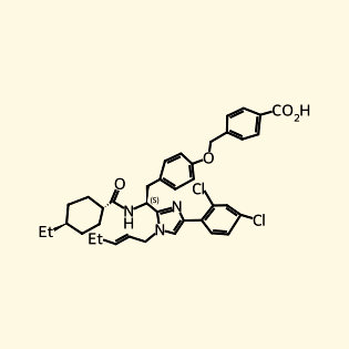 CCC=CCn1cc(-c2ccc(Cl)cc2Cl)nc1[C@H](Cc1ccc(OCc2ccc(C(=O)O)cc2)cc1)NC(=O)[C@H]1CC[C@H](CC)CC1